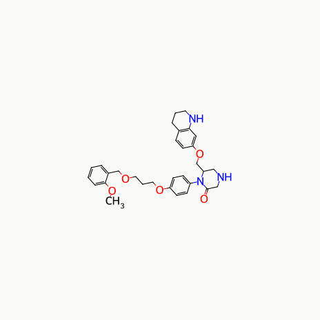 COc1ccccc1COCCCOc1ccc(N2C(=O)CNCC2COc2ccc3c(c2)NCCC3)cc1